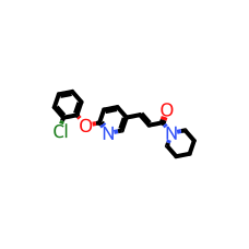 O=C(C=Cc1ccc(Oc2ccccc2Cl)nc1)N1CCCCC1